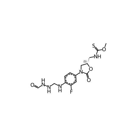 COC(=S)NC[C@H]1CN(c2ccc(NCNNC=O)c(F)c2)C(=O)O1